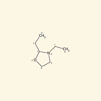 CCC1OCCN1CC